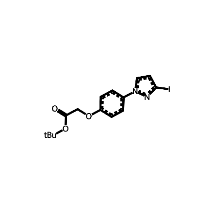 CC(C)(C)OC(=O)COc1ccc(-n2ccc(I)n2)cc1